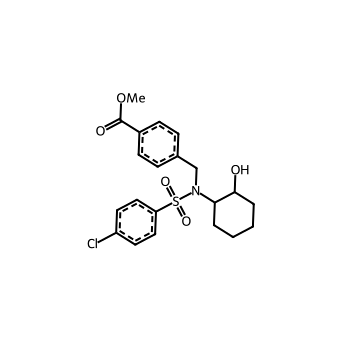 COC(=O)c1ccc(CN(C2CCCCC2O)S(=O)(=O)c2ccc(Cl)cc2)cc1